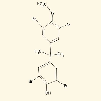 CC(C)(c1cc(Br)c(O)c(Br)c1)c1cc(Br)c(OC(=O)O)c(Br)c1